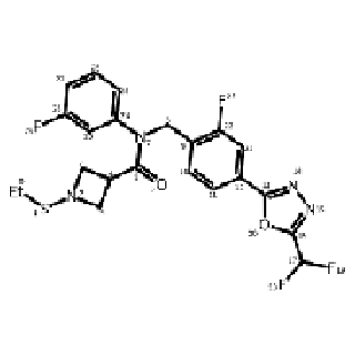 CCSN1CC(C(=O)N(Cc2ccc(-c3nnc(C(F)F)o3)cc2F)c2cccc(F)c2)C1